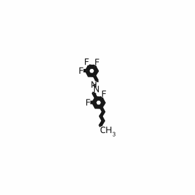 CCCCCc1cc(F)c(C=NN=Cc2cc(F)c(F)c(F)c2)c(F)c1